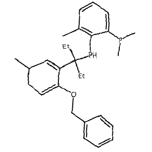 CCC(CC)(Pc1c(C)cccc1P(C)C)C1=CC(C)CC=C1OCc1ccccc1